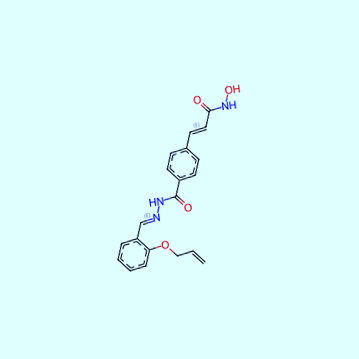 C=CCOc1ccccc1/C=N/NC(=O)c1ccc(/C=C/C(=O)NO)cc1